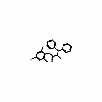 Cc1cc(Cl)cc(C)c1NC(=O)C(C)C(c1ccccc1)c1ccccc1